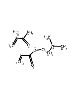 C=CC(=O)OC.C=CC(N)=O.CN(C)C.Cl